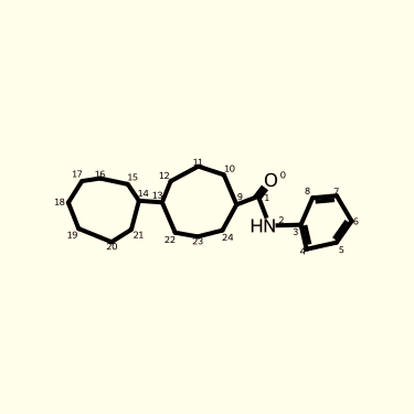 O=C(Nc1ccccc1)C1CCCC(C2CCCCCCC2)CCC1